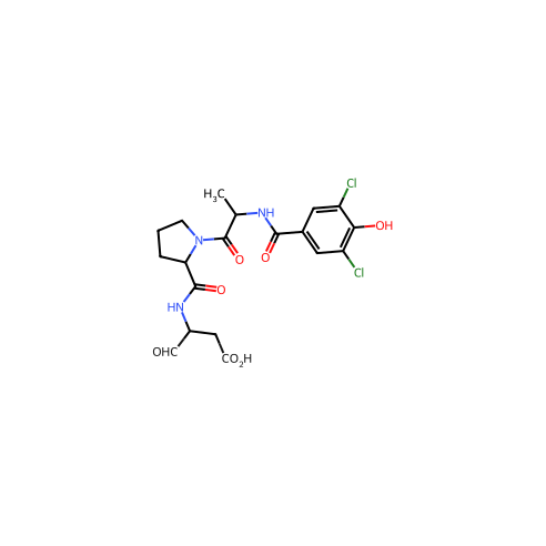 CC(NC(=O)c1cc(Cl)c(O)c(Cl)c1)C(=O)N1CCCC1C(=O)NC(C=O)CC(=O)O